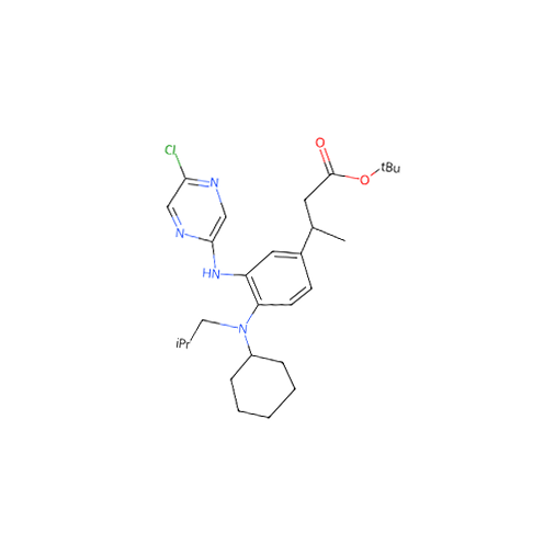 CC(C)CN(c1ccc(C(C)CC(=O)OC(C)(C)C)cc1Nc1cnc(Cl)cn1)C1CCCCC1